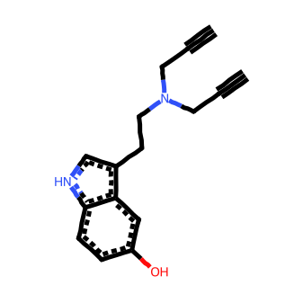 C#CCN(CC#C)CCc1c[nH]c2ccc(O)cc12